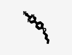 CCC=CCOc1ccc(-c2cnc(C#N)nc2)cc1